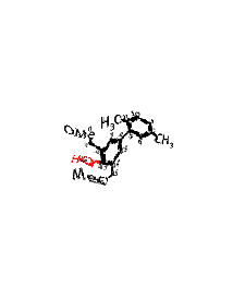 COCc1cc(-c2cc(C)ccc2C)cc(COC)c1O